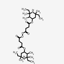 CCC1(C)CC(OC(=O)CCC(=O)OOC(=O)CCC(=O)OC2CC(C)(CC)NC(C)(CC)C2C)C(C)C(C)(CC)N1